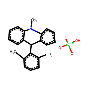 Cc1cccc(C)c1C1c2ccccc2N(C)c2ccccc21.[O-][Cl+3]([O-])([O-])O